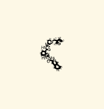 O=C(Nc1nc2c(C(=O)Nc3nc4c(s3)CN(Cc3ccsc3)CC4)cccc2[nH]1)c1cc2ccccc2cn1